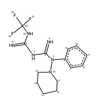 N=C(NC(=N)N(c1ccccc1)N1CCCCC1)NC(F)(F)F